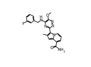 COc1nnc(-c2c(C)cc3c(C(N)=O)cccn23)nc1NCc1cccc(F)c1